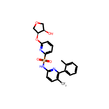 Cc1ccccc1-c1nc(NS(=O)(=O)c2cccc(O[C@H]3COC[C@H]3O)n2)ccc1C(F)(F)F